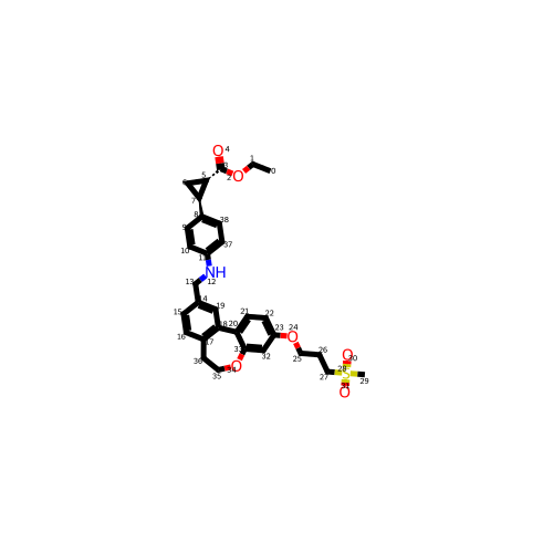 CCOC(=O)[C@H]1C[C@@H]1c1ccc(NCc2ccc3c(c2)-c2ccc(OCCCS(C)(=O)=O)cc2OCC3)cc1